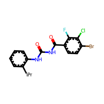 CC(C)c1ccccc1NC(=O)NC(=O)c1ccc(Br)c(Cl)c1F